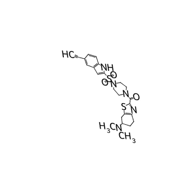 C#Cc1ccc2[nH]c(S(=O)(=O)N3CCN(C(=O)c4nc5c(s4)CC(N(C)C)CC5)CC3)cc2c1